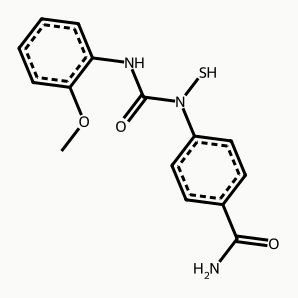 COc1ccccc1NC(=O)N(S)c1ccc(C(N)=O)cc1